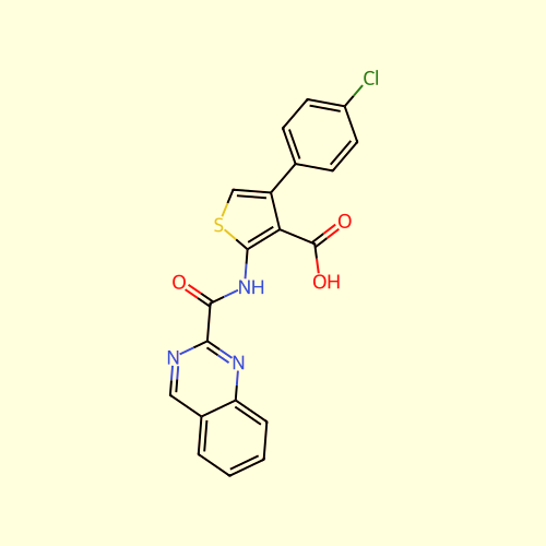 O=C(Nc1scc(-c2ccc(Cl)cc2)c1C(=O)O)c1ncc2ccccc2n1